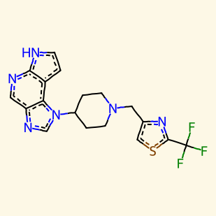 FC(F)(F)c1nc(CN2CCC(n3cnc4cnc5[nH]ccc5c43)CC2)cs1